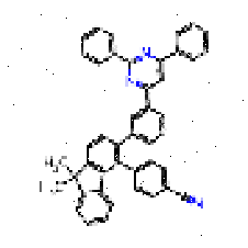 CC1(C)c2ccccc2-c2c1ccc(-c1cccc(-c3cc(-c4ccccc4)nc(-c4ccccc4)n3)c1)c2-c1ccc(C#N)cc1